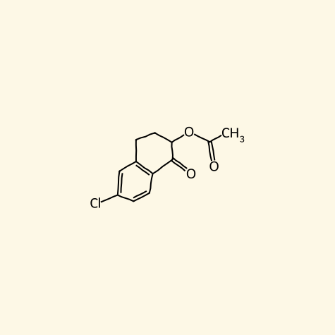 CC(=O)OC1CCc2cc(Cl)ccc2C1=O